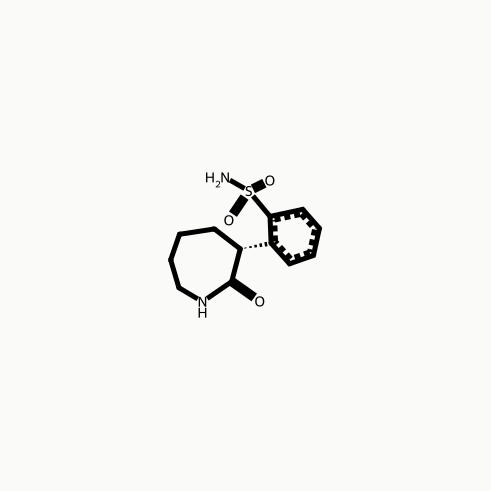 NS(=O)(=O)c1ccccc1[C@H]1CCCCNC1=O